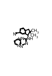 CC1(C)Cc2ccc(C#N)cc2C1N/C(=N/C#N)Nc1cccnc1